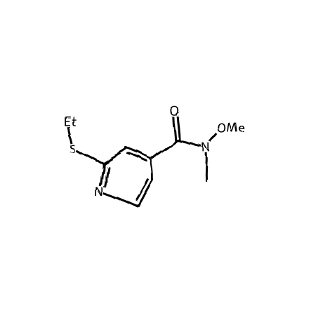 CCSc1cc(C(=O)N(C)OC)ccn1